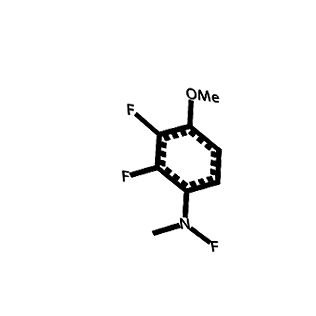 COc1ccc(N(C)F)c(F)c1F